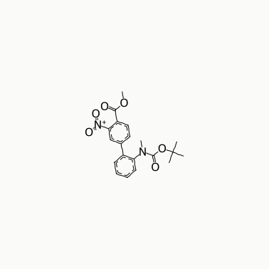 COC(=O)c1ccc(-c2ccccc2N(C)C(=O)OC(C)(C)C)cc1[N+](=O)[O-]